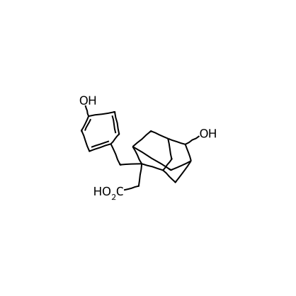 O=C(O)CC1(Cc2ccc(O)cc2)C2CC3CC1CC(C2)C3O